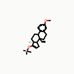 C=CC12CCc3cc(OC)ccc3C1CC[C@]1(C)C(O[Si](C)(C)C)=CCC21